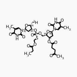 [2H]C[C@H]1O[C@@H](n2cc(C)c(=O)[nH]c2=O)C[C@H]1OP(=O)(OC[C@H]1O[C@@H](n2cc(C)c(=O)[nH]c2=O)C[C@H]1OC(=O)CCC(C)=O)SCOC(=O)CC